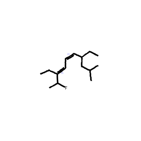 CC/C(=C\C=C/C(CC)CC(C)C)C(C)F